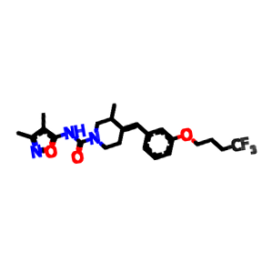 Cc1noc(NC(=O)N2CCC(=Cc3cccc(OCCCC(F)(F)F)c3)C(C)C2)c1C